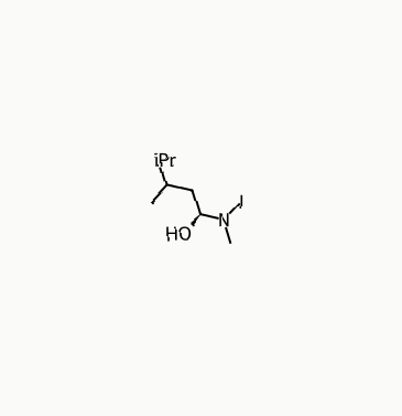 CC(C)C(C)C[C@H](O)N(C)I